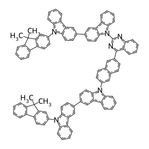 CC1(C)c2ccccc2-c2ccc(-n3c4ccccc4c4cc(-c5ccc6c(c5)c5ccccc5n6-c5ccc6cc(-c7nc(-n8c9ccccc9c9cc(-c%10ccc%11c(c%10)c%10ccccc%10n%11-c%10ccc%11c(c%10)C(C)(C)c%10ccccc%10-%11)ccc98)nc8ccccc78)ccc6c5)ccc43)cc21